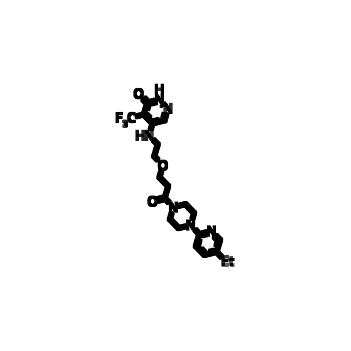 CCc1ccc(N2CCN(C(=O)CCOCCNc3cn[nH]c(=O)c3C(F)(F)F)CC2)nc1